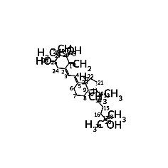 C=C1/C(=C\C=C2/CCC[C@]3(C)[C@@H]([C@H](C)CCCC(C)(C)O)CC[C@@H]23)C[C@@H](O)C(C)(C)[C@H]1O